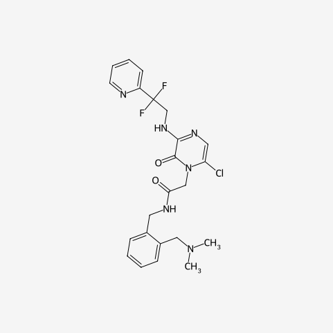 CN(C)Cc1ccccc1CNC(=O)Cn1c(Cl)cnc(NCC(F)(F)c2ccccn2)c1=O